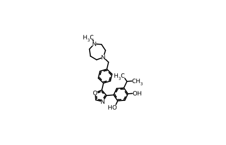 CC(C)c1cc(-c2ncoc2-c2ccc(CN3CCCN(C)CC3)cc2)c(O)cc1O